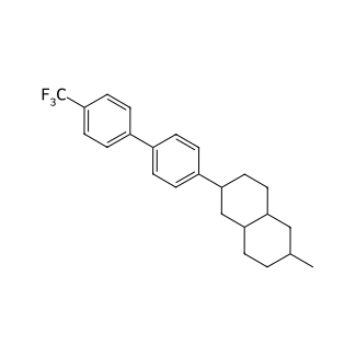 CC1CCC2CC(c3ccc(-c4ccc(C(F)(F)F)cc4)cc3)CCC2C1